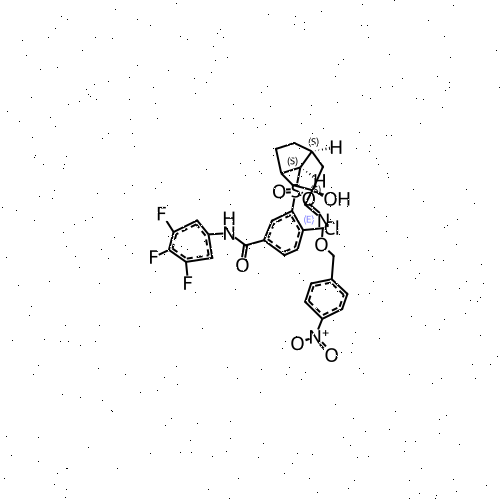 O=C(Nc1cc(F)c(F)c(F)c1)c1ccc(Cl)c(S(=O)(=O)[C@H]2C3CC[C@H]2C[C@](O)(/C=N/OCc2ccc([N+](=O)[O-])cc2)C3)c1